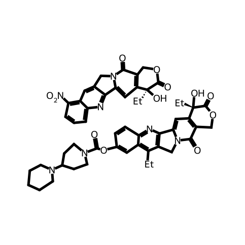 CC[C@@]1(O)C(=O)OCc2c1cc1n(c2=O)Cc2cc3c([N+](=O)[O-])cccc3nc2-1.CCc1c2c(nc3ccc(OC(=O)N4CCC(N5CCCCC5)CC4)cc13)-c1cc3c(c(=O)n1C2)COC(=O)[C@]3(O)CC